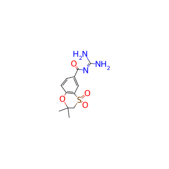 CC1(C)CS(=O)(=O)c2cc(C(=O)N=C(N)N)ccc2O1